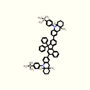 CC12CCCCC1(C)N(c1ccc([Si](C)(C)C)cc1)c1ccc(-c3ccc4c(c3)C(c3ccccc3)(c3ccccc3)c3cc(-c5ccc6c(c5)CC5(C)CCCCC5(C)N6c5ccc([Si](C)(C)C)cc5)c5ccccc5c3-4)cc1C2